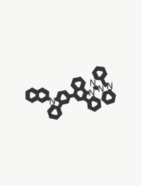 c1ccc2cc(-n3c4ccccc4c4cc(-c5cc6c7ccccc7n(-c7nc8ccccc8c8nc9ccccc9n78)c6c6ccccc56)ccc43)ccc2c1